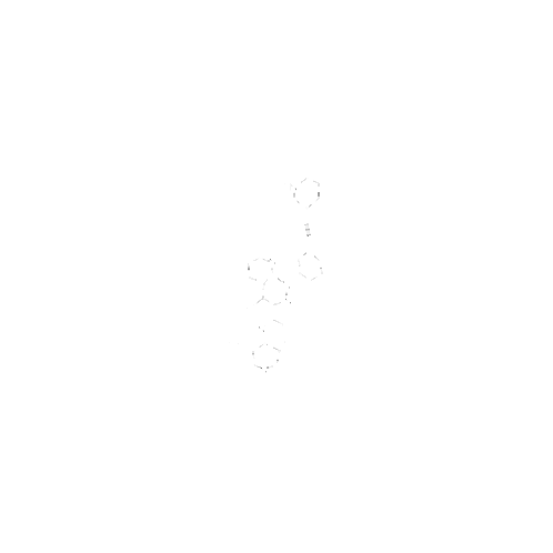 O=C(Nc1c(Cl)cncc1Cl)c1nn(-c2cccc(C#Cc3ccc[n+]([O-])c3)c2)c2ncccc2c1=O